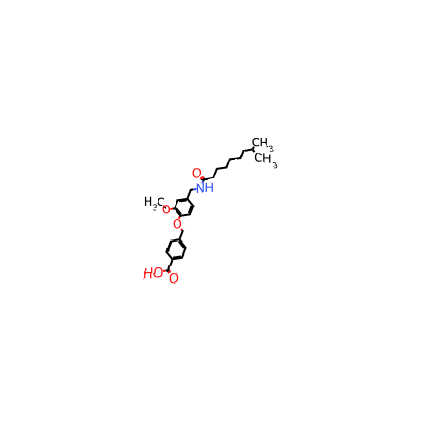 COc1cc(CNC(=O)CCCCCCC(C)C)ccc1OCc1ccc(C(=O)O)cc1